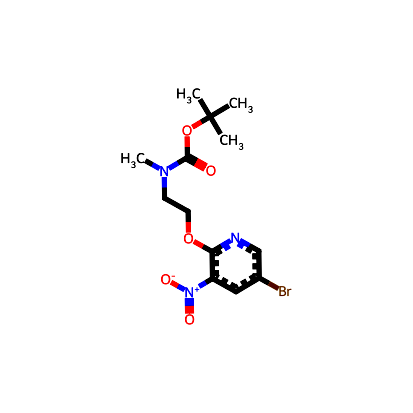 CN(CCOc1ncc(Br)cc1[N+](=O)[O-])C(=O)OC(C)(C)C